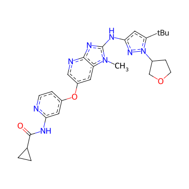 Cn1c(Nc2cc(C(C)(C)C)n(C3CCOC3)n2)nc2ncc(Oc3ccnc(NC(=O)C4CC4)c3)cc21